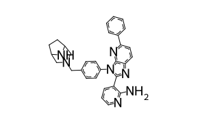 Nc1ncccc1-c1nc2ccc(-c3ccccc3)nc2n1-c1ccc(CN2CC3CCC(C2)N3)cc1